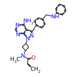 C=CC(=O)N(C)[C@H]1C[C@@H](n2nc(-c3ccc(CNc4ccccc4)cc3)c3c(N)ncnc32)C1